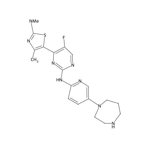 CNc1nc(C)c(-c2nc(Nc3ccc(N4CCCNCC4)cn3)ncc2F)s1